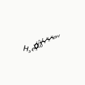 Cc1ccc(OC(=O)CCCCCO)cc1